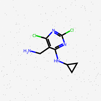 NCc1c(Cl)nc(Cl)nc1NC1CC1